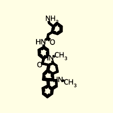 CNC1CCc2c3c(ccc2=C1C(=O)c1ccc(NC(=O)Cc2ccccc2CN)cc1)=c1ccccc1=CC3NC